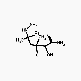 CC(C)(CC(C)(C)C(O)C(N)=O)NN